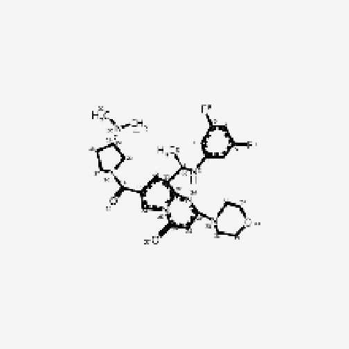 C[C@@H](Nc1cc(F)cc(F)c1)c1cc(C(=O)N2CC[C@H](N(C)C)C2)cn2c(=O)cc(N3CCOCC3)nc12